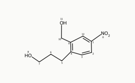 O=[N+]([O-])c1ccc(CCCO)c(CO)c1